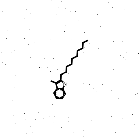 CCCCCCCCCCC1=C(C)c2ccccc2[N]1